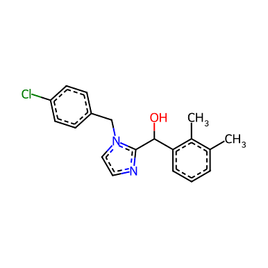 Cc1cccc(C(O)c2nccn2Cc2ccc(Cl)cc2)c1C